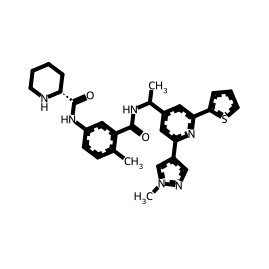 Cc1ccc(NC(=O)[C@H]2CCCCN2)cc1C(=O)NC(C)c1cc(-c2cnn(C)c2)nc(-c2cccs2)c1